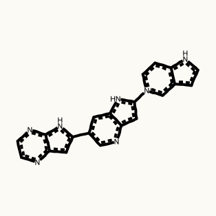 c1cnc2[nH]c(-c3cnc4cc(-[n+]5ccc6[nH]ccc6c5)[nH]c4c3)cc2n1